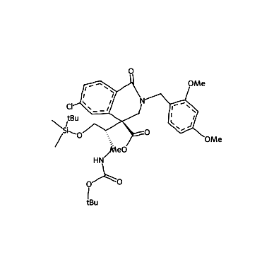 COC(=O)[C@]1([C@H](CNC(=O)OC(C)(C)C)CO[Si](C)(C)C(C)(C)C)CN(Cc2ccc(OC)cc2OC)C(=O)c2ccc(Cl)cc21